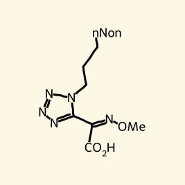 CCCCCCCCCCCCn1nnnc1/C(=N/OC)C(=O)O